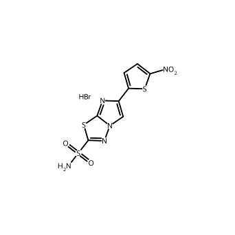 Br.NS(=O)(=O)c1nn2cc(-c3ccc([N+](=O)[O-])s3)nc2s1